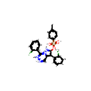 Cc1ccc(S(=O)(=O)Oc2nn3c(-c4ccccc4F)nncc3c2-c2ccccc2F)cc1